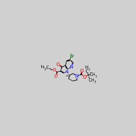 CCOC(=O)c1cn([C@H]2CCCN(C(=O)OC(C)(C)C)C2)c2ncc(Br)cc2c1=O